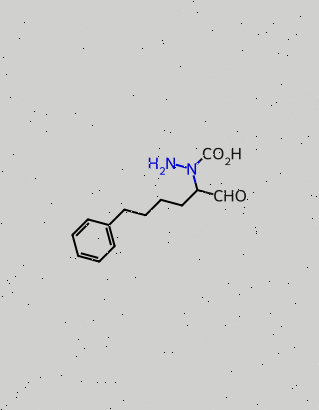 NN(C(=O)O)C(C=O)CCCCc1ccccc1